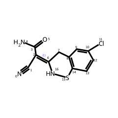 N#C/C(C(N)=O)=C1/Cc2cc(Cl)ccc2SN1